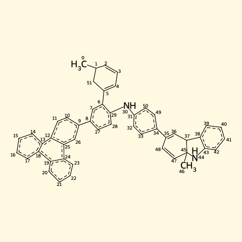 CC1C=CC=C(c2cc(-c3ccc4c5ccccc5c5ccccc5c4c3)ccc2Nc2ccc(C3=CC4c5ccccc5NC4(C)C=C3)cc2)C1